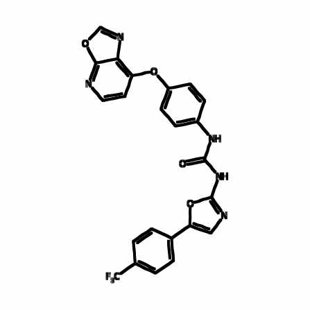 O=C(Nc1ccc(Oc2ccnc3ocnc23)cc1)Nc1ncc(-c2ccc(C(F)(F)F)cc2)o1